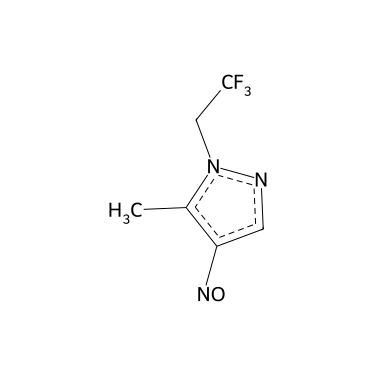 Cc1c(N=O)cnn1CC(F)(F)F